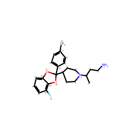 CC(CCN)N1CCC(C2(c3ccc(C(F)(F)F)cc3)Oc3cccc(F)c3O2)CC1